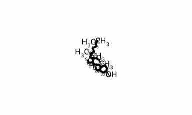 CC(C)CCC[C@@H](C)[C@H]1CC[C@@H]2[C@]1(C)CC[C@@]13O[C@@]21CC=C1C[C@H](O)CC[C@@]13C